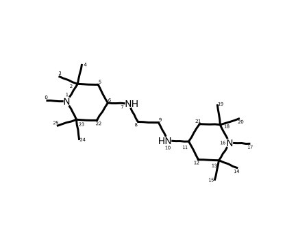 CN1C(C)(C)CC(NCCNC2CC(C)(C)N(C)C(C)(C)C2)CC1(C)C